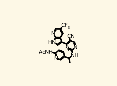 CC(=O)Nc1ccc(C(C)Nc2ncc(C#N)c(-c3c[nH]c4ncc(C(F)(F)F)cc34)n2)cn1